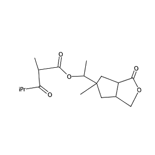 CC(C)C(=O)C(C)C(=O)OC(C)C1(C)CC2COC(=O)C2C1